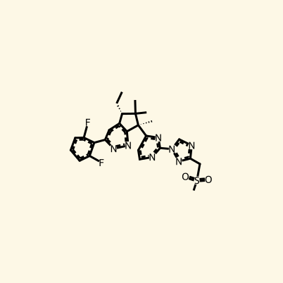 CC[C@H]1c2cc(-c3c(F)cccc3F)nnc2[C@](C)(c2ccnc(-n3cnc(CS(C)(=O)=O)n3)n2)C1(C)C